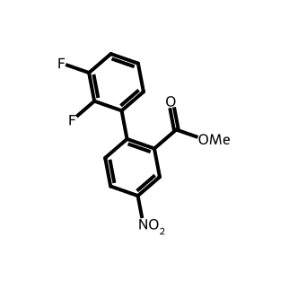 COC(=O)c1cc([N+](=O)[O-])ccc1-c1cccc(F)c1F